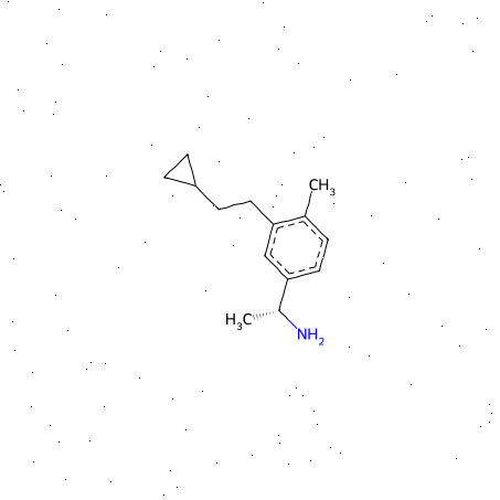 Cc1ccc([C@@H](C)N)cc1CCC1CC1